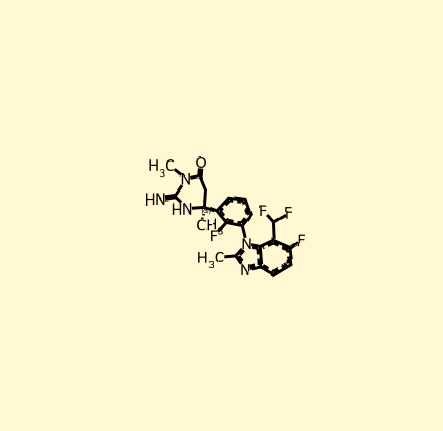 Cc1nc2ccc(F)c(C(F)F)c2n1-c1cccc([C@]2(C)CC(=O)N(C)C(=N)N2)c1F